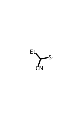 CCC([S])C#N